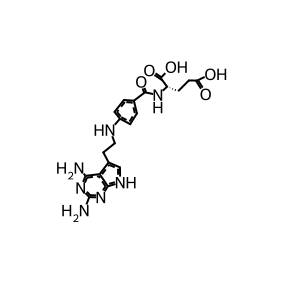 Nc1nc(N)c2c(CCNc3ccc(C(=O)N[C@@H](CCC(=O)O)C(=O)O)cc3)c[nH]c2n1